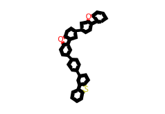 c1ccc2c(c1)oc1cc(-c3ccc4oc5ccc(-c6ccc(-c7ccc8sc9ccccc9c8c7)cc6)cc5c4c3)ccc12